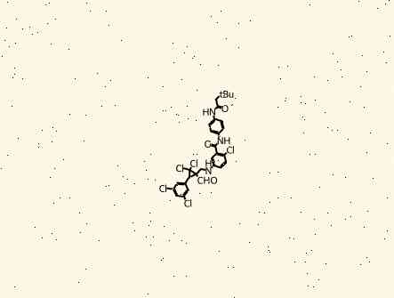 CC(C)(C)CC(=O)Nc1ccc(NC(=O)c2cc(NCC3(C=O)C(c4cc(Cl)cc(Cl)c4)C3(Cl)Cl)ccc2Cl)cc1